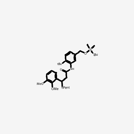 CCCCCC(CC(=O)Nc1cc(CO[Si](C)(C)C(C)(C)C)ccc1C(C)(C)C)c1cccc(OC)c1OC